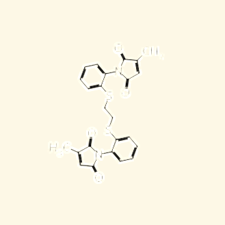 CC1=CC(=O)N(c2ccccc2SCCSc2ccccc2N2C(=O)C=C(C)C2=O)C1=O